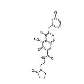 O=C(NCCN1CCCC1=O)c1cn2ccn(Cc3cccc(Cl)c3)c(=O)c2c(O)c1=O